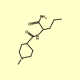 CCCC(NC(=O)C1CCN(C)CC1)C(N)=O